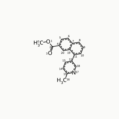 COC(=O)c1ccc2cccc(-c3ccc(C)nc3)c2c1